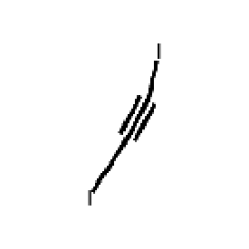 IC#CI